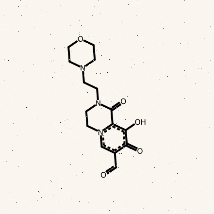 O=[C]c1cn2c(c(O)c1=O)C(=O)N(CCN1CCOCC1)CC2